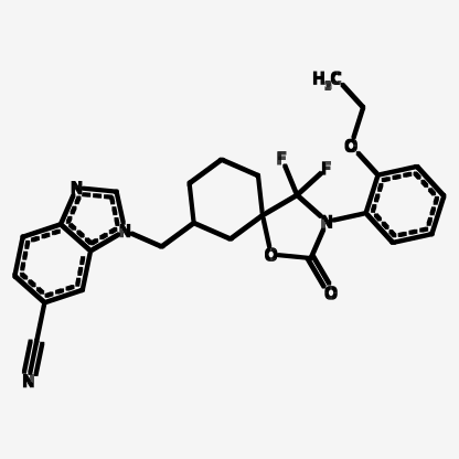 CCOc1ccccc1N1C(=O)OC2(CCCC(Cn3cnc4ccc(C#N)cc43)C2)C1(F)F